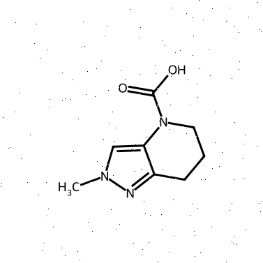 Cn1cc2c(n1)CCCN2C(=O)O